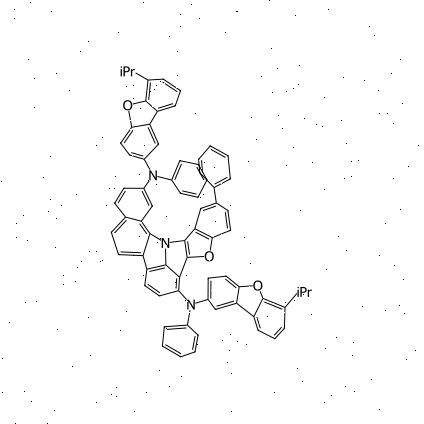 CC(C)c1cccc2c1oc1ccc(N(c3ccccc3)c3ccc4ccc5c6ccc(N(c7ccccc7)c7ccc8oc9c(C(C)C)cccc9c8c7)c7c8oc9ccc(-c%10ccccc%10)cc9c8n(c5c4c3)c67)cc12